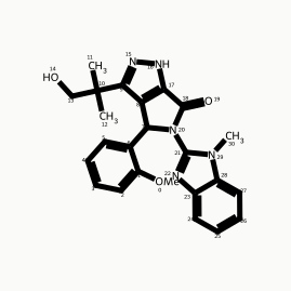 COc1ccccc1C1c2c(C(C)(C)CO)n[nH]c2C(=O)N1c1nc2ccccc2n1C